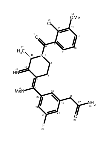 CN/C(=C1/CCN(C(=O)c2cccc(OC)c2Cl)[C@@H](C)C1=N)c1cc(F)cc(CC(N)=O)c1